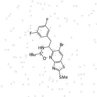 CSc1nc2nc(C(Cc3cc(F)cc(F)c3)N[S+]([O-])C(C)(C)C)c(Br)cc2s1